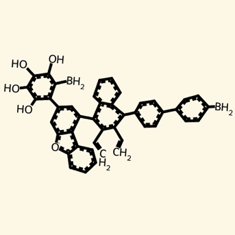 Bc1ccc(-c2ccc(-c3c(C=C)c(C=C)c(-c4cc(-c5c(B)c(O)c(O)c(O)c5O)cc5oc6ccccc6c45)c4ccccc34)cc2)cc1